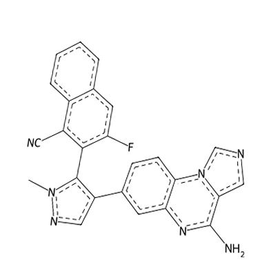 Cn1ncc(-c2ccc3c(c2)nc(N)c2cncn23)c1-c1c(F)cc2ccccc2c1C#N